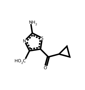 Nc1nc(C(=O)O)c(C(=O)C2CC2)s1